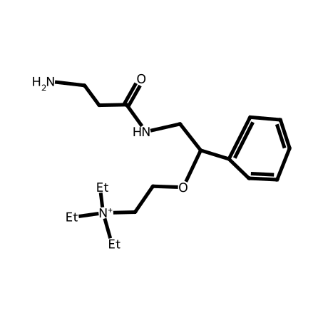 CC[N+](CC)(CC)CCOC(CNC(=O)CCN)c1ccccc1